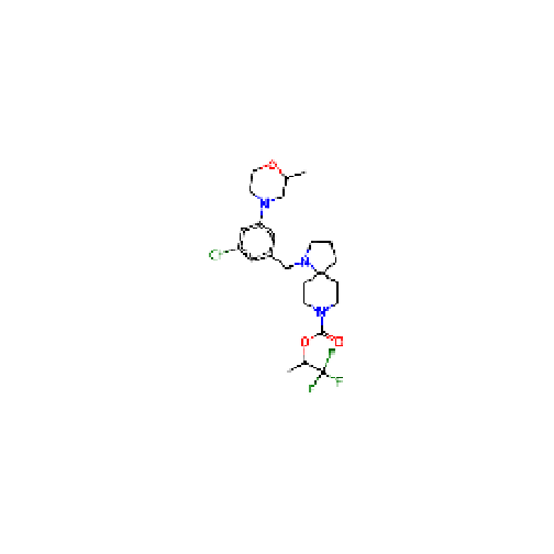 CC1CN(c2cc(Cl)cc(CN3CCCC34CCN(C(=O)OC(C)C(F)(F)F)CC4)c2)CCO1